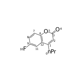 CCCc1cc(=O)oc2ccc(F)cc12